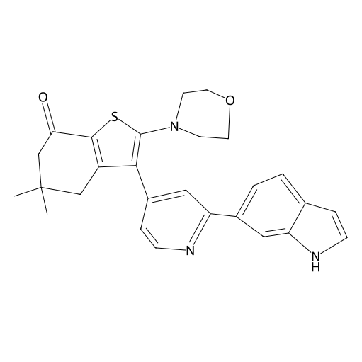 CC1(C)CC(=O)c2sc(N3CCOCC3)c(-c3ccnc(-c4ccc5cc[nH]c5c4)c3)c2C1